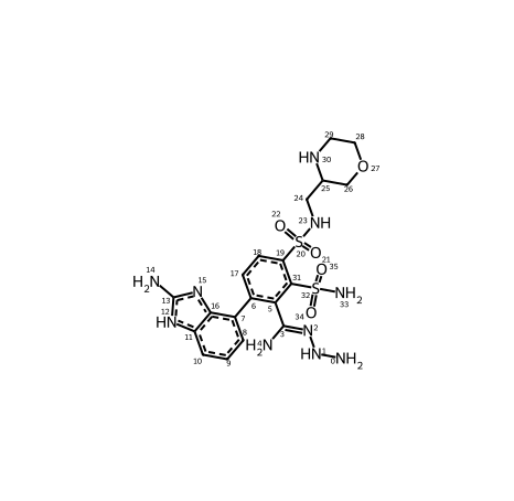 NN/N=C(\N)c1c(-c2cccc3[nH]c(N)nc23)ccc(S(=O)(=O)NCC2COCCN2)c1S(N)(=O)=O